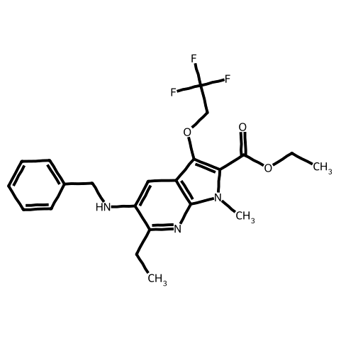 CCOC(=O)c1c(OCC(F)(F)F)c2cc(NCc3ccccc3)c(CC)nc2n1C